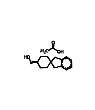 CC(=O)O.ON=C1CCC2(CC1)Cc1ccccc1C2